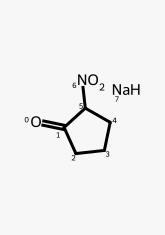 O=C1CCCC1[N+](=O)[O-].[NaH]